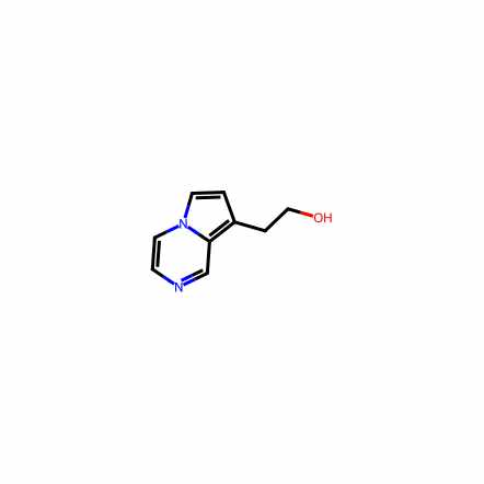 OCCc1ccn2ccncc12